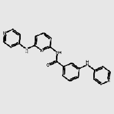 O=C(Nc1cccc(Nc2ccncc2)n1)c1cccc(Nc2ccncc2)c1